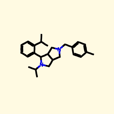 Cc1ccc(CN2CC3CN(C(C)C)C(c4ccccc4C(C)C)C3C2)cc1